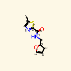 Cc1cnc(C(=O)NCC2CC=CO2)s1